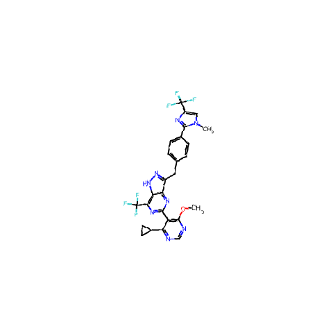 COc1ncnc(C2CC2)c1-c1nc(C(F)(F)F)c2[nH]nc(Cc3ccc(-c4nc(C(F)(F)F)cn4C)cc3)c2n1